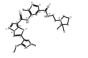 COc1nn(C)cc1-c1cn2ncc(C(=O)Nc3cc(C(=O)NCCN4CCCC4(C)C)cnc3C)c2s1